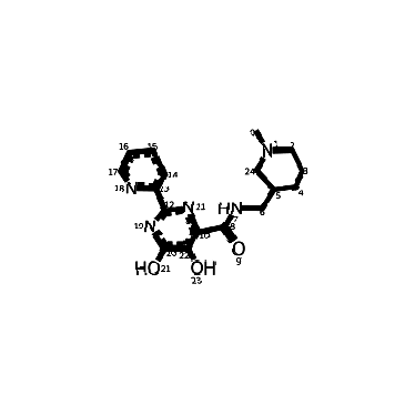 CN1CCCC(CNC(=O)c2nc(-c3ccccn3)nc(O)c2O)C1